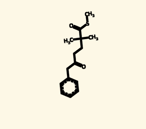 CSC(=O)C(C)(C)CCC(=O)Cc1ccccc1